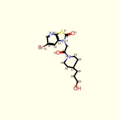 O=C(Cn1c(=O)sc2ncc(Br)cc21)N1CCC(CCCO)CC1